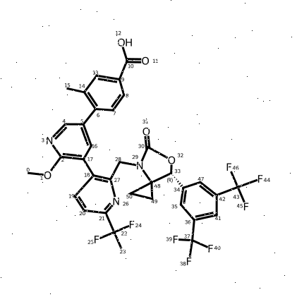 COc1ncc(-c2ccc(C(=O)O)cc2C)cc1-c1ccc(C(C)(F)F)nc1CN1C(=O)O[C@H](c2cc(C(F)(F)F)cc(C(F)(F)F)c2)C12CC2